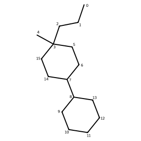 CCCC1(C)CCC(C2CCCCC2)CC1